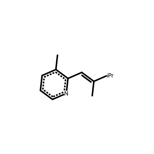 C/C(=C\c1ncccc1C)C(C)C